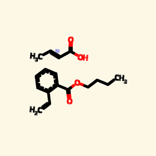 C/C=C/C(=O)O.C=Cc1ccccc1C(=O)OCCCC